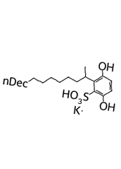 CCCCCCCCCCCCCCCCC(C)c1c(O)ccc(O)c1S(=O)(=O)O.[K]